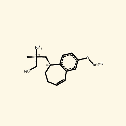 CCCCCCCOc1ccc2c(c1)C=CCC[C@H]2C[C@@](C)(N)CO